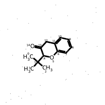 CC(C)(C)C1Oc2ccccc2CC1=O